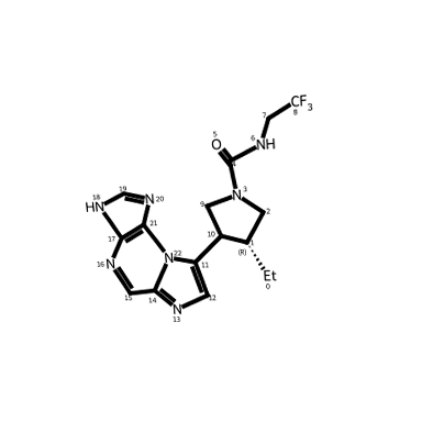 CC[C@H]1CN(C(=O)NCC(F)(F)F)CC1c1cnc2cnc3[nH]cnc3n12